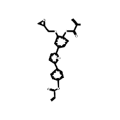 C=CC(=O)Oc1ccc(-c2ccc(-c3ccc(OC(=O)C(=C)C)c(OCC4CO4)c3)o2)cc1